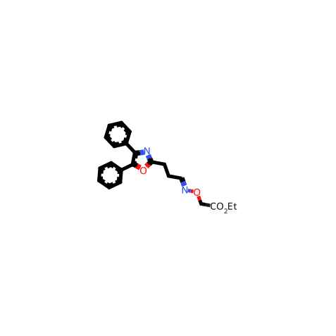 CCOC(=O)CON=CCCc1nc(-c2ccccc2)c(-c2ccccc2)o1